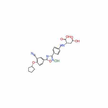 Cl.N#Cc1cc(-c2nc(-c3ccc(CNC(CC(=O)O)C(=O)O)cc3)no2)ccc1OC1CCCC1